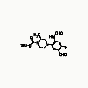 C[C@H]1CN(c2cc(C=O)c(F)cc2NC=O)CCN1C(=O)OC(C)(C)C